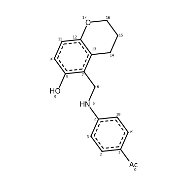 CC(=O)c1ccc(NCc2c(O)ccc3c2CCCO3)cc1